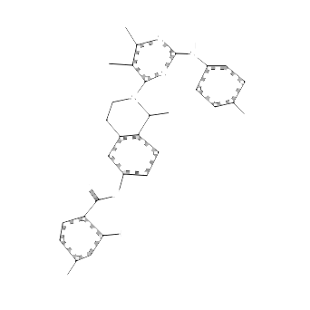 Cc1nc(Nc2ccc(F)cc2)nc(N2CCc3cc(OC(=O)c4ccc(F)cc4F)ccc3C2C)c1C